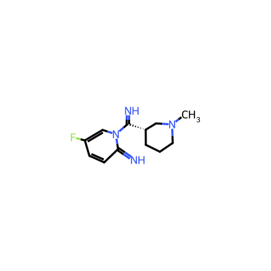 CN1CCC[C@H](C(=N)n2cc(F)ccc2=N)C1